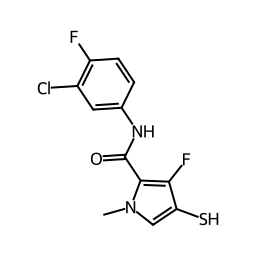 Cn1cc(S)c(F)c1C(=O)Nc1ccc(F)c(Cl)c1